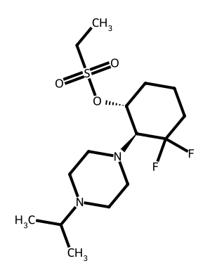 CCS(=O)(=O)O[C@@H]1CCCC(F)(F)[C@H]1N1CCN(C(C)C)CC1